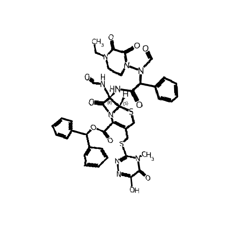 CCN1CCN(N(C=O)C(C(=O)N[C@]2(NC=O)C(=O)N3C(C(=O)OC(c4ccccc4)c4ccccc4)=C(CSc4nnc(O)c(=O)n4C)CS[C@H]32)c2ccccc2)C(=O)C1=O